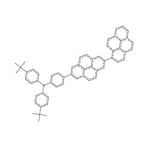 CC(C)(C)c1ccc(N(c2ccc(-c3cc4ccc5cc(-c6ccc7ccc8cccc9ccc6c7c89)cc6ccc(c3)c4c56)cc2)c2ccc(C(C)(C)C)cc2)cc1